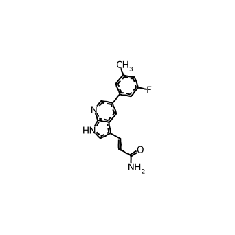 Cc1cc(F)cc(-c2cnc3[nH]cc(/C=C/C(N)=O)c3c2)c1